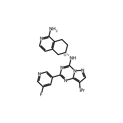 CC(C)c1cnn2c(N[C@H]3CCc4c(ccnc4N)C3)nc(-c3cncc(F)c3)nc12